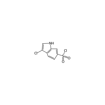 O=S(=O)(Cl)c1ccc2c(Cl)c[nH]c2c1